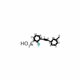 Cc1cccc(C#Cc2cccc(C(=O)O)c2F)c1